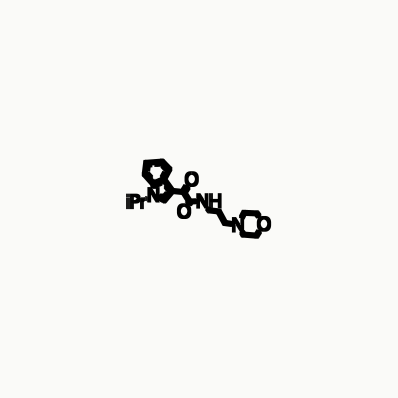 CC(C)n1cc(C(=O)C(=O)NCCCN2CCOCC2)c2ccccc21